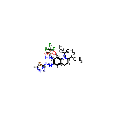 CCC1CCc2cc(N=Nc3nncs3)c(NS(=O)(=O)C(F)(F)F)cc2N1C(C)C